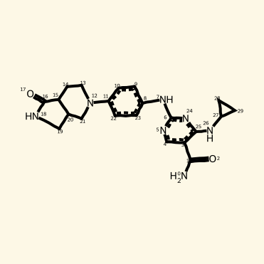 NC(=O)c1cnc(Nc2ccc(N3CCC4C(=O)NCC4C3)cc2)nc1NC1CC1